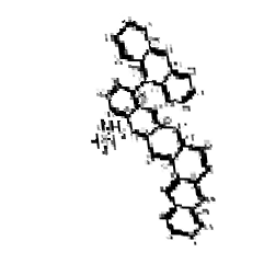 NN.c1ccc2cc3c(ccc4cc5cc6c(-c7c8ccccc8cc8ccccc78)cccc6cc5cc43)cc2c1